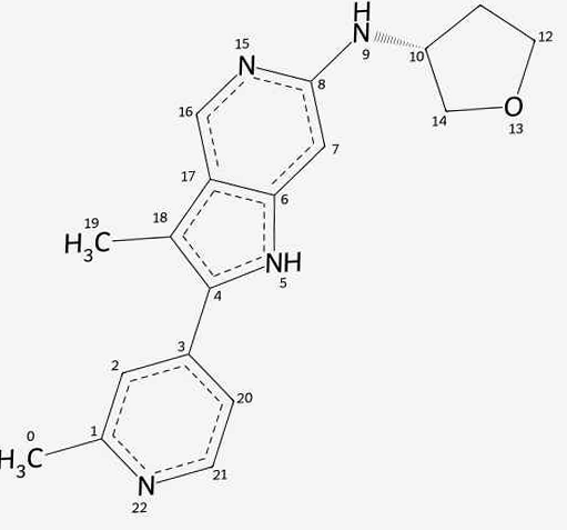 Cc1cc(-c2[nH]c3cc(N[C@@H]4CCOC4)ncc3c2C)ccn1